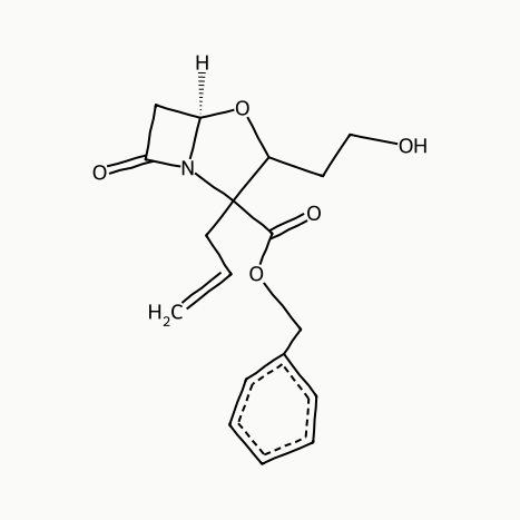 C=CCC1(C(=O)OCc2ccccc2)C(CCO)O[C@@H]2CC(=O)N21